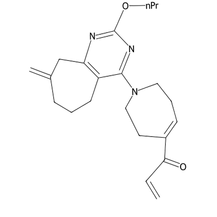 C=CC(=O)C1=CCCN(c2nc(OCCC)nc3c2CCCC(=C)C3)CC1